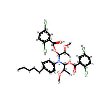 CCCCCc1ccc(N(C(OC(=O)c2cc(Cl)ccc2Cl)C(C)OC)C(OC(=O)c2cc(Cl)ccc2Cl)C(C)OC)cc1